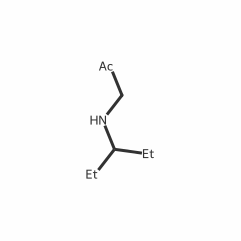 CCC(CC)NCC(C)=O